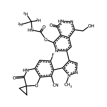 [2H]C([2H])([2H])NC(=O)Oc1nc(-c2cnn(C)c2-c2c(F)cc3c(c2C#N)OC2(CC2)C(=O)N3)cc2c(CO)n[nH]c(=O)c12